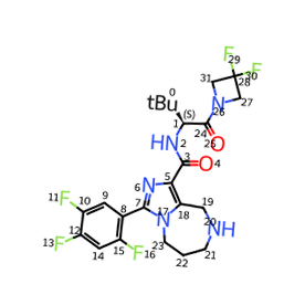 CC(C)(C)[C@H](NC(=O)c1nc(-c2cc(F)c(F)cc2F)n2c1CNCCC2)C(=O)N1CC(F)(F)C1